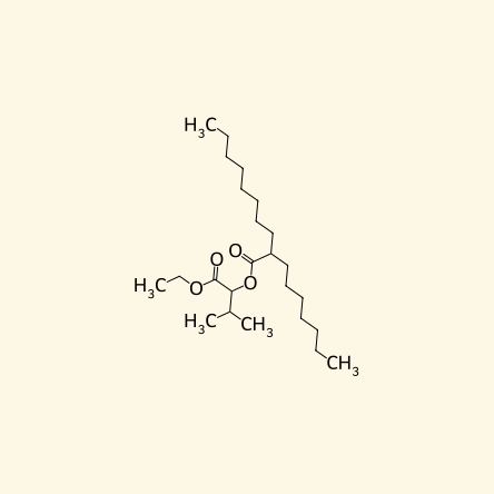 CCCCCCCCC(CCCCCCC)C(=O)OC(C(=O)OCC)C(C)C